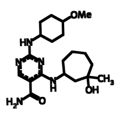 COC1CCC(Nc2ncc(C(N)=O)c(NC3CCCCC(C)(O)C3)n2)CC1